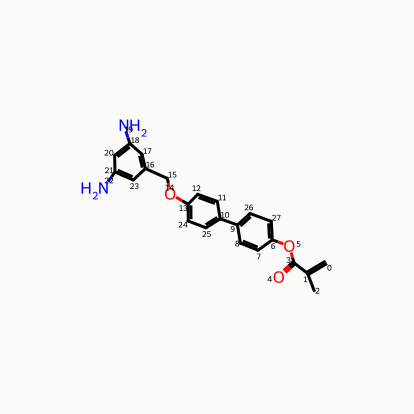 C=C(C)C(=O)Oc1ccc(-c2ccc(OCc3cc(N)cc(N)c3)cc2)cc1